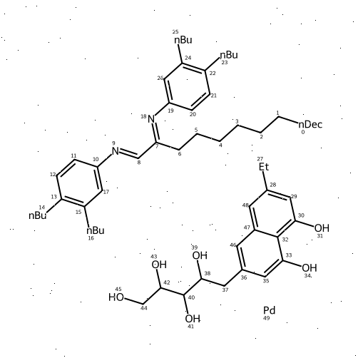 CCCCCCCCCCCCCCCCC(C=Nc1ccc(CCCC)c(CCCC)c1)=Nc1ccc(CCCC)c(CCCC)c1.CCc1cc(O)c2c(O)cc(CC(O)C(O)C(O)CO)cc2c1.[Pd]